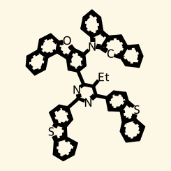 CCC1C(c2ccc3sc4ccccc4c3c2)=NC(c2ccc3sc4ccccc4c3c2)=NC1c1cc(-n2c3ccccc3c3cc4ccccc4cc32)c2oc3ccc4ccccc4c3c2c1